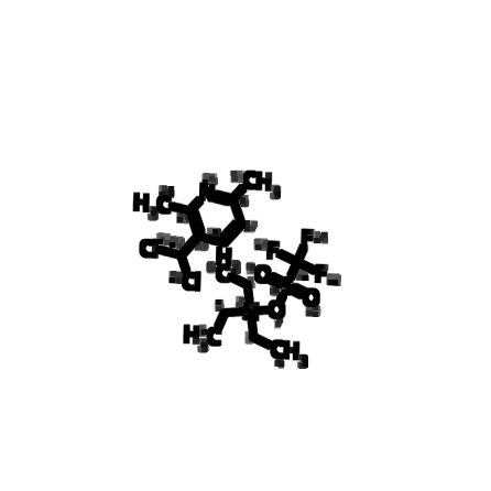 CC[Si](CC)(CC)OS(=O)(=O)C(F)(F)F.Cc1ccc(C(Cl)Cl)c(C)n1